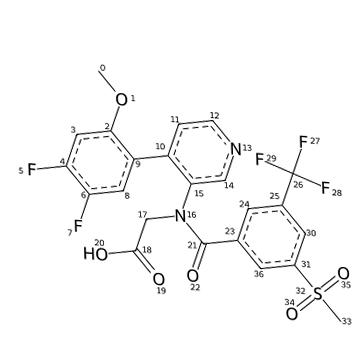 COc1cc(F)c(F)cc1-c1ccncc1N(CC(=O)O)C(=O)c1cc(C(F)(F)F)cc(S(C)(=O)=O)c1